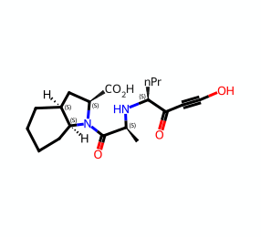 CCC[C@H](N[C@@H](C)C(=O)N1[C@H](C(=O)O)C[C@@H]2CCCC[C@@H]21)C(=O)C#CO